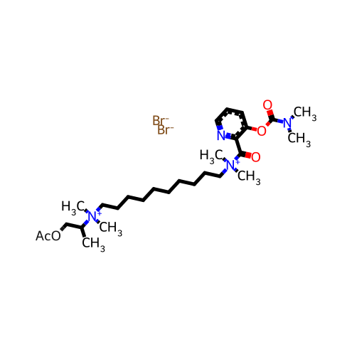 CC(=O)OCC(C)[N+](C)(C)CCCCCCCCCC[N+](C)(C)C(=O)c1ncccc1OC(=O)N(C)C.[Br-].[Br-]